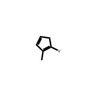 CC1=[C]([V])CC=C1